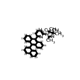 CC1=NC(C)(C)C(C)(C)N1c1cccc(-c2c3ccccc3c(-c3cccc4ccccc34)c3ccccc23)n1